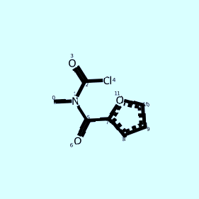 CN(C(=O)Cl)C(=O)c1ccco1